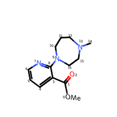 COC(=O)c1cccnc1N1CCCN(C)CC1